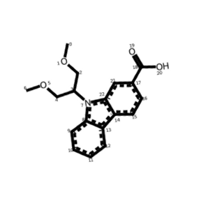 COCC(COC)n1c2ccccc2c2ccc(C(=O)O)cc21